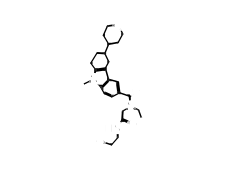 CCN(CC(=O)NC[C@H](C)O)C(=O)c1ccc2c(c1)c1c(n2C)CCC(C2CCOCC2)C1